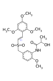 COc1cc(OC)c(/C=C/S(=O)(=O)Cc2ccc(OC)c(NC(=O)C(C)O)c2)c(OC)c1